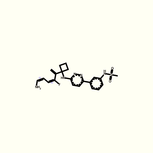 C=C(/C(F)=C\C=C/N)C1(Nc2ccc(-c3cccc(NS(C)(=O)=O)c3)nn2)CCC1